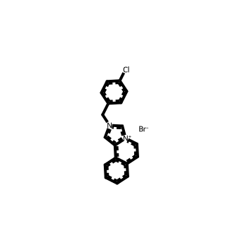 Clc1ccc(Cn2cc3c4ccccc4cc[n+]3c2)cc1.[Br-]